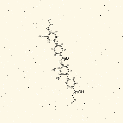 CCCC(O)c1ccc(-c2ccc(OC(=O)c3ccc(-c4ccc(OCC)c(F)c4)cc3)c(F)c2F)cc1